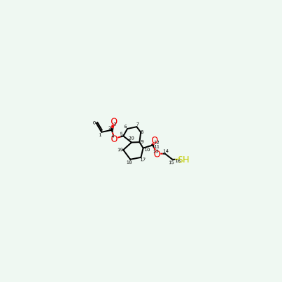 C=CC(=O)OC1CCCC2C(C(=O)OCCS)CCCC12